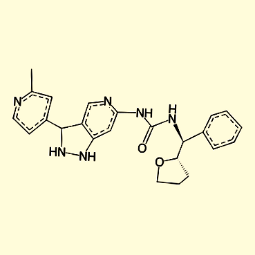 Cc1cc(C2NNc3cc(NC(=O)N[C@@H](c4ccccc4)[C@@H]4CCCO4)ncc32)ccn1